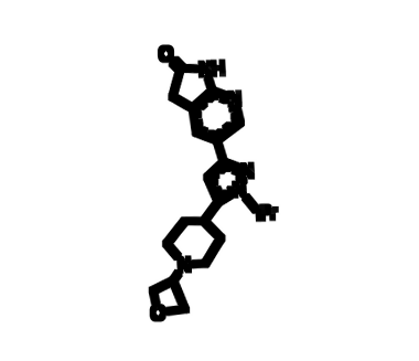 CC(C)n1nc(-c2cnc3c(c2)CC(=O)N3)cc1C1CCN(C2COC2)CC1